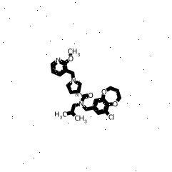 COc1ncccc1CN1CC[C@@H](C(=O)N(Cc2cc(Cl)c3c(c2)OCCCO3)CC(C)C)C1